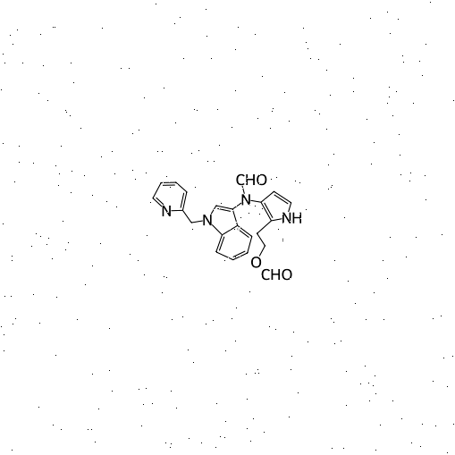 O=COCCc1[nH]ccc1N(C=O)c1cn(Cc2ccccn2)c2ccccc12